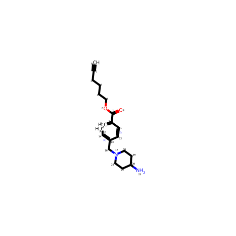 C#CCCCCOC(=O)C(=C)/C=C\C(=C/C)CN1CCC(N)CC1